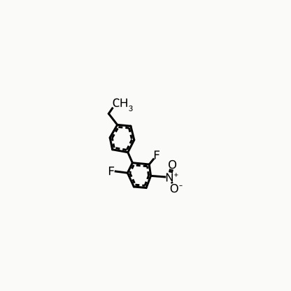 CCc1ccc(-c2c(F)ccc([N+](=O)[O-])c2F)cc1